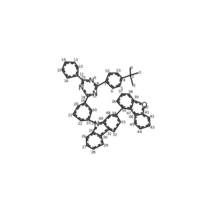 CC(C)(C)c1ccc(-c2nc(-c3ccccc3)nc(-c3cccc(-n4c5ccccc5c5ccc(-c6cccc7oc8ccccc8c67)cc54)c3)n2)cc1